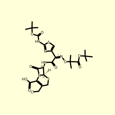 CC(C)(C)OC(=O)Nc1nc(/C(=N/OC(C)(C)C(=O)OC(C)(C)C)C(=O)N[C@@H]2C(=O)N3C(C(=O)O)=C(CCl)CS[C@H]23)cs1